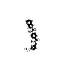 Cn1ccc(CNC(=O)c2ccc(NC(=O)N3Cc4cccnc4C3)cc2)n1